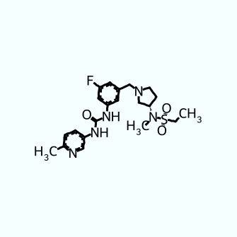 CCS(=O)(=O)N(C)[C@H]1CCN(Cc2cc(F)cc(NC(=O)Nc3ccc(C)nc3)c2)C1